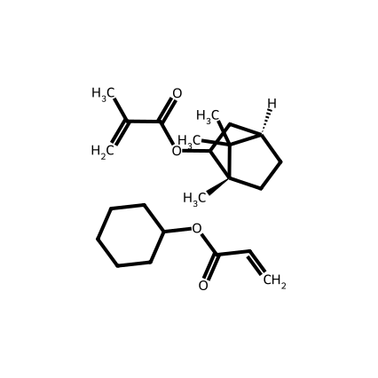 C=C(C)C(=O)OC1C[C@H]2CC[C@@]1(C)C2(C)C.C=CC(=O)OC1CCCCC1